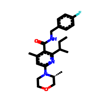 CCC(C)c1nc(N2CCOC[C@H]2C)cc(C)c1C(=O)NCc1ccc(F)cc1